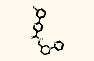 O=C(NCC1CCCN(c2ccccn2)C1)c1ccc(-c2cccc(F)c2)nc1